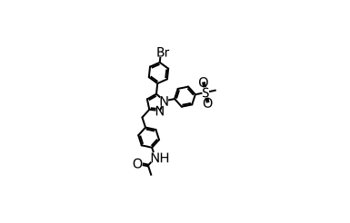 CC(=O)Nc1ccc(Cc2cc(-c3ccc(Br)cc3)n(-c3ccc(S(C)(=O)=O)cc3)n2)cc1